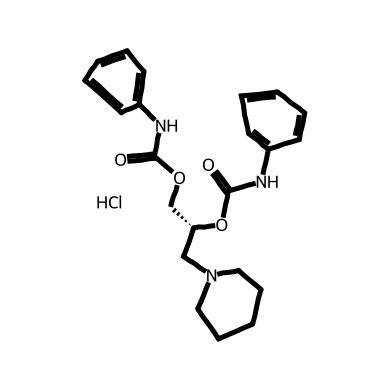 Cl.O=C(Nc1ccccc1)OC[C@@H](CN1CCCCC1)OC(=O)Nc1ccccc1